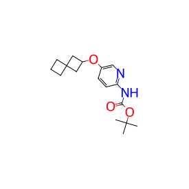 CC(C)(C)OC(=O)Nc1ccc(OC2CC3(CCC3)C2)cn1